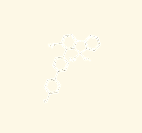 CC1(C)c2ccccc2-c2ccc(N)c(-c3ccc(-c4ccc(Br)cc4)cc3)c21